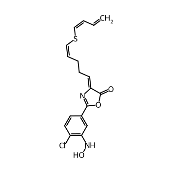 C=C/C=C\S/C=C\CC/C=C1\N=C(c2ccc(Cl)c(NO)c2)OC1=O